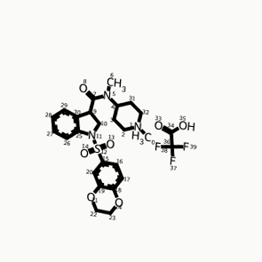 CN1CCC(N(C)C(=O)C2CN(S(=O)(=O)c3ccc4c(c3)OCCO4)c3ccccc32)CC1.O=C(O)C(F)(F)F